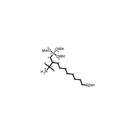 CCCCCCCCCCCCCCCCCCC(C[Si](OC)(OC)OC)C(C)(C)N